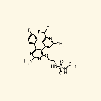 CNS(=O)(=O)NCCOc1nc(N)nc(-c2ccc(F)cc2)c1-c1cc(C)nc(C(F)F)c1